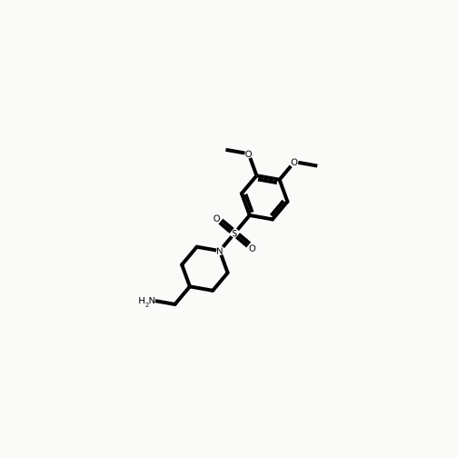 COc1ccc(S(=O)(=O)N2CCC(CN)CC2)cc1OC